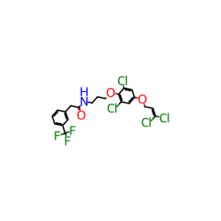 O=C(Cc1cccc(C(F)(F)F)c1)NCCCOc1c(Cl)cc(OCC=C(Cl)Cl)cc1Cl